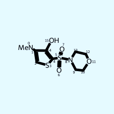 CNc1csc(S(=O)(=O)N2CCOCC2)c1O